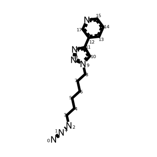 [N-]=[N+]=NCCCCCCn1cc(-c2cccnc2)nn1